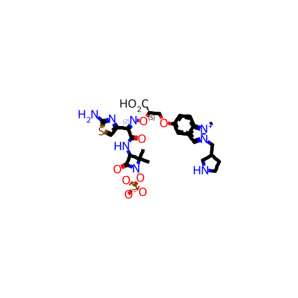 C[n+]1c2ccc(OC[C@H](O/N=C(\C(=O)NC3C(=O)N(OS(=O)(=O)[O-])C3(C)C)c3csc(N)n3)C(=O)O)cc2cn1CC1CCNC1